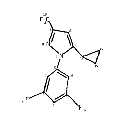 Fc1[c]c(F)cc(-n2nc(C(F)(F)F)cc2C2CC2)c1